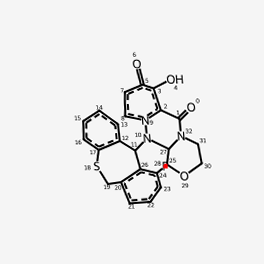 O=C1c2c(O)c(=O)ccn2N(C2c3ccccc3SCc3cccc(F)c32)C2COCCN12